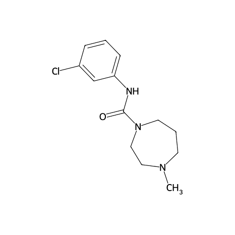 CN1CCCN(C(=O)Nc2cccc(Cl)c2)CC1